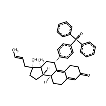 C/C=C/C[C@]1(O)CC[C@H]2[C@@H]3CCC4=CC(=O)CCC4=C3[C@@H](c3ccc(P(=O)(c4ccccc4)c4ccccc4)cc3)C[C@@]21C